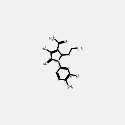 CCCC1C(C(C)=O)=C(O)C(=O)N1c1ccc(C)c(Cl)c1